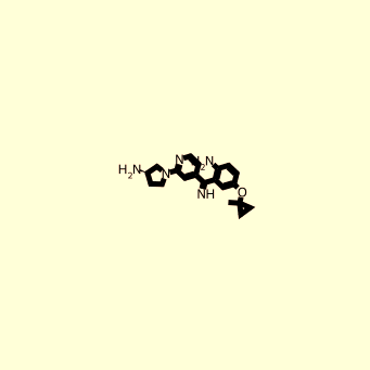 CC1(Oc2ccc(N)c(C(=N)c3ccnc(N4CC[C@H](N)C4)c3)c2)CC1